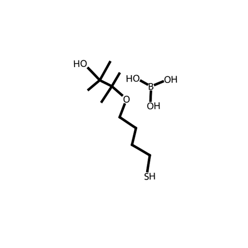 CC(C)(O)C(C)(C)OCCCCS.OB(O)O